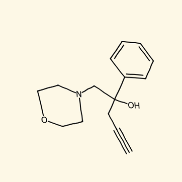 C#CCC(O)(CN1CCOCC1)c1ccccc1